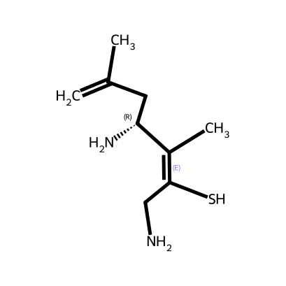 C=C(C)C[C@@H](N)/C(C)=C(/S)CN